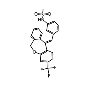 CS(=O)(=O)Nc1cccc(/C=C2\c3ccccc3COc3cc(C(F)(F)F)ccc32)c1